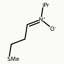 CSCCC=[N+]([O-])C(C)C